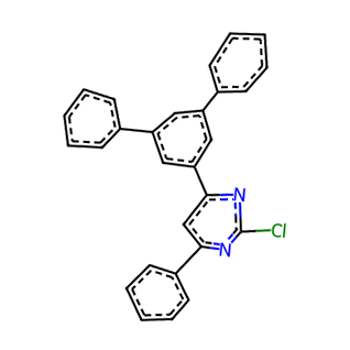 Clc1nc(-c2ccccc2)cc(-c2cc(-c3ccccc3)cc(-c3ccccc3)c2)n1